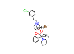 C[C@@](C(=O)O[C@H]1C[N+]2(CCc3cccc(Cl)c3)CCC1CC2)(c1ccccc1)N1CCCCC1.[Br-]